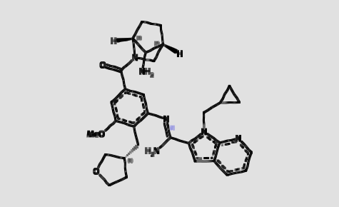 COc1cc(C(=O)N2C[C@H]3CC[C@@H]2C3N)cc(/N=C(\N)c2cc3cccnc3n2CC2CC2)c1C[C@@H]1CCOC1